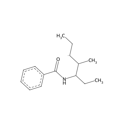 CC[CH]C(C)C(CC)NC(=O)c1ccccc1